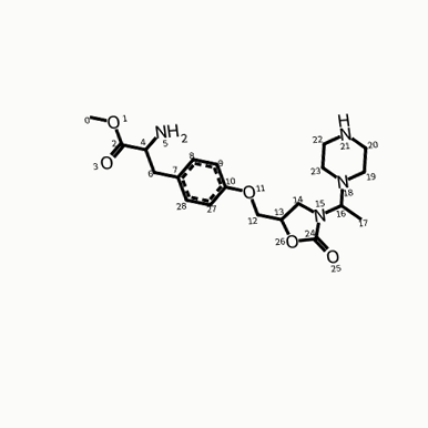 COC(=O)C(N)Cc1ccc(OCC2CN(C(C)N3CCNCC3)C(=O)O2)cc1